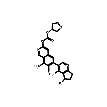 Cc1c(-c2cc3cc(NC(=O)O[C@H]4CCOC4)ncc3c(N)c2F)cnc2c1C(O)CC2